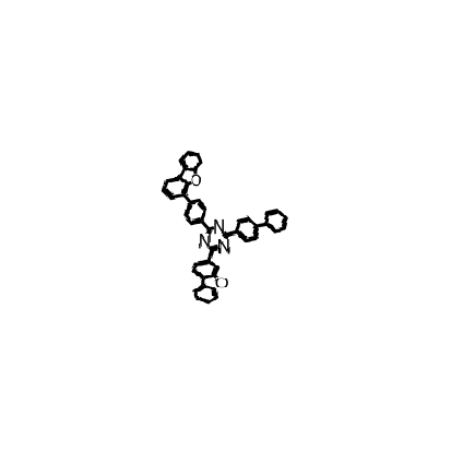 c1ccc(-c2ccc(-c3nc(-c4ccc(-c5cccc6c5oc5ccccc56)cc4)nc(-c4ccc5c(c4)oc4ccccc45)n3)cc2)cc1